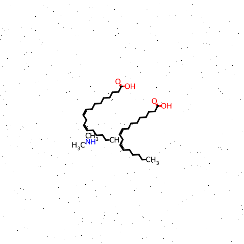 CCCCC/C=C\C/C=C\CCCCCCCC(=O)O.CCCCC/C=C\C/C=C\CCCCCCCC(=O)O.CNC